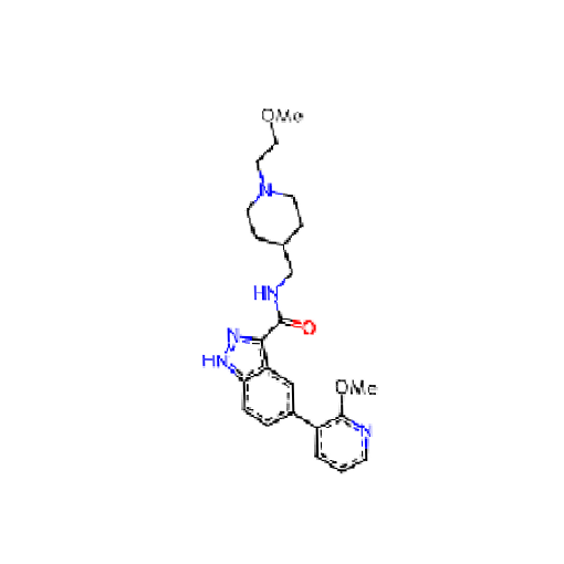 COCCN1CCC(CNC(=O)c2n[nH]c3ccc(-c4cccnc4OC)cc23)CC1